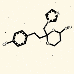 CC(C)(C)C1CCOC(CCc2ccc(Cl)cc2)(Cn2ccnc2)O1